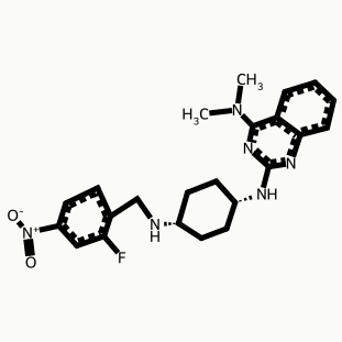 CN(C)c1nc(N[C@H]2CC[C@@H](NCc3ccc([N+](=O)[O-])cc3F)CC2)nc2ccccc12